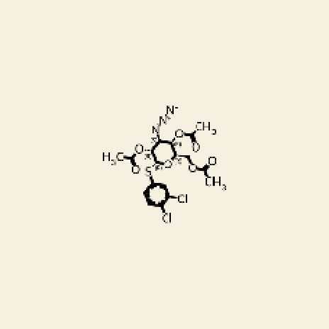 CC(=O)OC[C@H]1O[C@H](Sc2ccc(Cl)c(Cl)c2)[C@H](OC(C)=O)[C@@H](N=[N+]=[N-])[C@H]1OC(C)=O